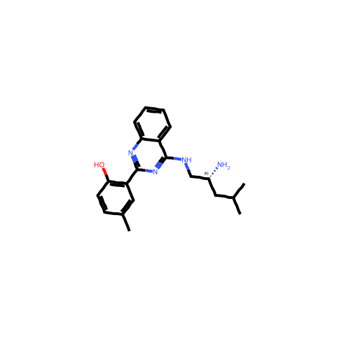 Cc1ccc(O)c(-c2nc(NC[C@H](N)CC(C)C)c3ccccc3n2)c1